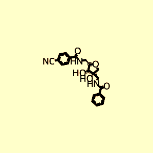 N#Cc1ccc(C(=O)NC[C@H]2OC[C@@](O)(CNC(=O)c3ccccc3)[C@@H]2O)cc1